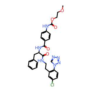 COCCOC(=O)Nc1ccc(C(=O)NC(Cc2ccccc2)C(=O)NCCc2cc(Cl)ccc2-n2cnnn2)cc1